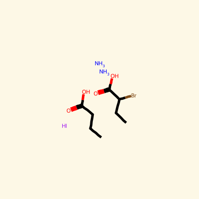 CCC(Br)C(=O)O.CCCC(=O)O.I.N.N